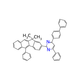 CC1(C)c2cc(-c3nc(-c4ccccc4)cc(-c4ccc(-c5ccccc5)cc4)n3)ccc2-c2c1cc1ccccc1c2-c1ccccc1